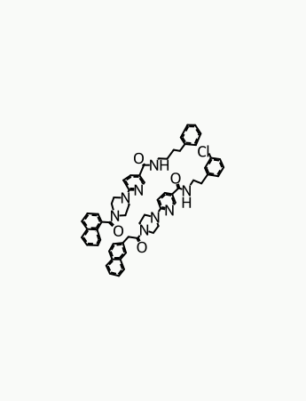 O=C(NCCCCc1ccccc1)c1ccc(N2CCN(C(=O)c3cccc4ccccc34)CC2)nc1.O=C(NCCc1cccc(Cl)c1)c1ccc(N2CCN(C(=O)Cc3ccc4ccccc4c3)CC2)nc1